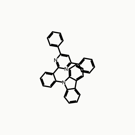 c1ccc(-c2cc(-c3ccccc3)nc(-c3ccccc3-n3c4ccccc4c4ccccc43)n2)cc1